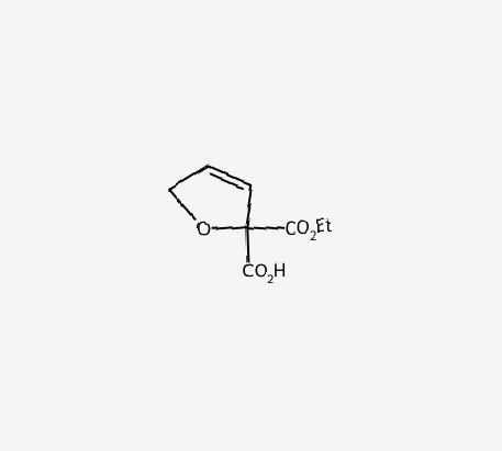 CCOC(=O)C1(C(=O)O)C=CCO1